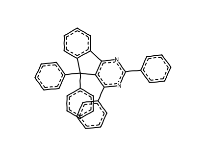 c1ccc(-c2nc(-c3ccccc3)c3c(n2)-c2ccccc2C3(c2ccccc2)c2ccccc2)cc1